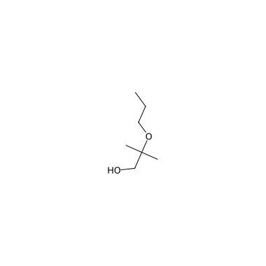 CCCOC(C)(C)CO